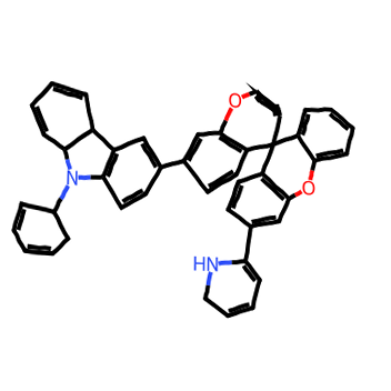 C1=CCNC(c2ccc3c(c2)Oc2ccccc2C32c3ccccc3Oc3cc(-c4ccc5c(c4)C4C=CC=CC4N5C4C=CC=CC4)ccc32)=C1